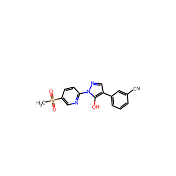 CS(=O)(=O)c1ccc(-n2ncc(-c3cccc(C#N)c3)c2O)nc1